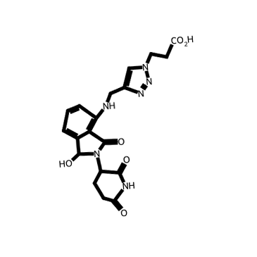 O=C(O)CCn1cc(CNc2cccc3c2C(=O)N(C2CCC(=O)NC2=O)C3O)nn1